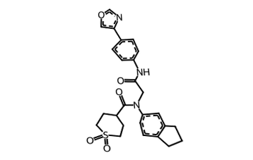 O=C(CN(C(=O)C1CCS(=O)(=O)CC1)c1ccc2c(c1)CCC2)Nc1ccc(-c2cocn2)cc1